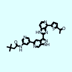 CC(=O)c1ccc(-c2nccc3[nH]c(-c4n[nH]c5cnc(-c6cncc(NC(=O)CC(C)(C)C)c6)cc45)nc23)s1